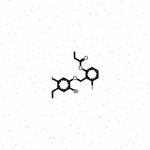 CCC(=O)Oc1cccc(I)c1COc1cc(I)c(CC)cc1Br